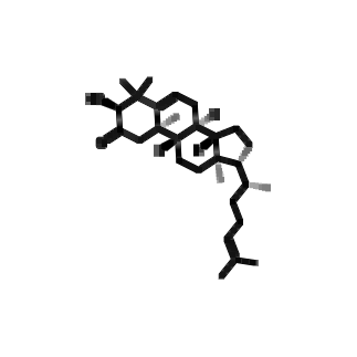 CC(C)=CCC[C@@H](C)[C@H]1CC[C@H]2[C@@H]3CC=C4C(C)(C)[C@H](O)C(=O)C[C@]4(C)[C@H]3CC[C@]12C